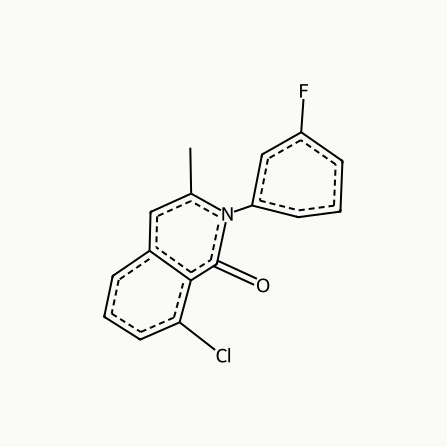 Cc1cc2cccc(Cl)c2c(=O)n1-c1cccc(F)c1